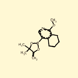 C=C1OB(c2cnc(OC)c3c2CCCC3)OC1(C)C